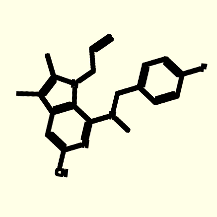 C=CCn1c(C)c(C)c2cc(C#N)nc(N(C)Cc3ccc(F)cc3)c21